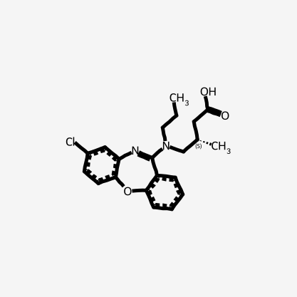 CCCN(C[C@@H](C)CC(=O)O)C1=Nc2cc(Cl)ccc2Oc2ccccc21